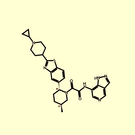 C[C@H]1CC[C@H](c2ccc3sc(C4CCN(C5CC5)CC4)nc3c2)N(C(=O)C(=O)Nc2cncc3cn[nH]c23)C1